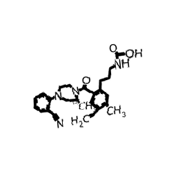 C=Cc1cc(C(=O)N2CCN(c3ccccc3C#N)C[C@@H]2C)c(CCCNC(=O)O)cc1C